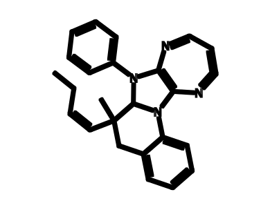 CC/C=C\C1(C)Cc2ccccc2N2C3=C(N=CC=C=N3)N(c3ccccc3)C21